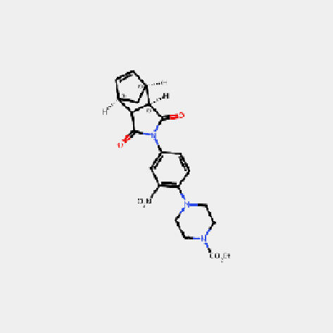 CCOC(=O)N1CCN(c2ccc(N3C(=O)C4[C@H]5C=C[C@H](C5)[C@H]4C3=O)cc2[N+](=O)[O-])CC1